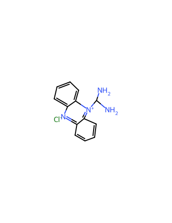 NC(N)[n+]1c2ccccc2nc2ccccc21.[Cl-]